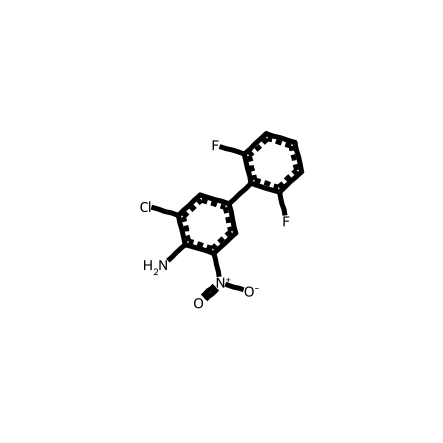 Nc1c(Cl)cc(-c2c(F)cccc2F)cc1[N+](=O)[O-]